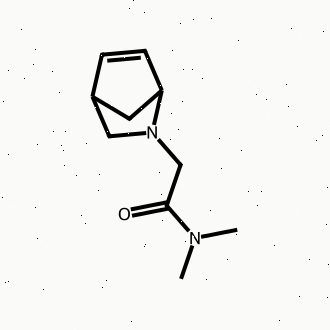 CN(C)C(=O)CN1CC2C=CC1C2